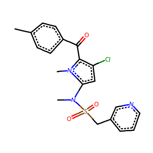 Cc1ccc(C(=O)c2c(Cl)cc(N(C)S(=O)(=O)Cc3cccnc3)n2C)cc1